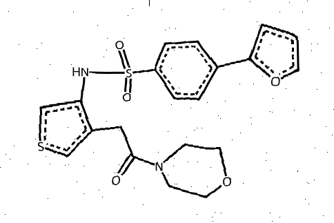 O=C(Cc1cscc1NS(=O)(=O)c1ccc(-c2ccco2)cc1)N1CCOCC1